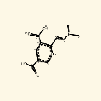 CN(C)/C=C/c1ncc(C(=O)O)cc1C(=O)O